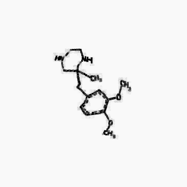 COc1ccc(CC2(C)CNCCN2)cc1OC